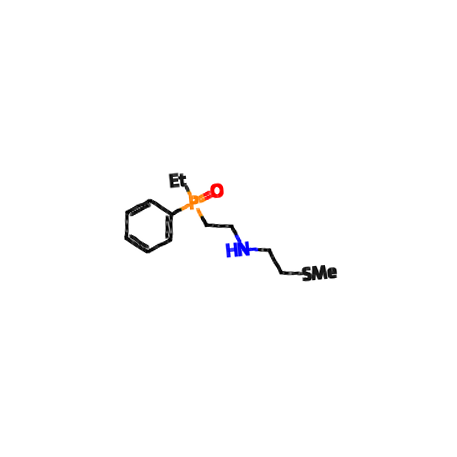 CCP(=O)(CCNCCSC)c1ccccc1